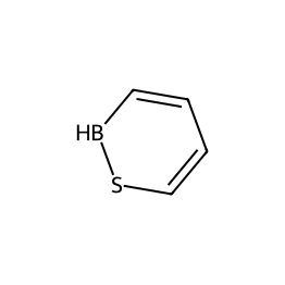 B1C=CC=CS1